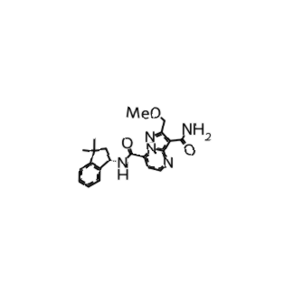 COCc1nn2c(C(=O)N[C@H]3CC(C)(C)c4ccccc43)ccnc2c1C(N)=O